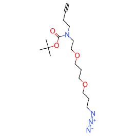 C#CCCN(CCOCCCOCCCN=[N+]=[N-])C(=O)OC(C)(C)C